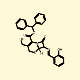 O=C(OC(c1ccccc1)c1ccccc1)C1=C(CO)CS[C@H]2C(N=Cc3ccccc3O)C(=O)N12